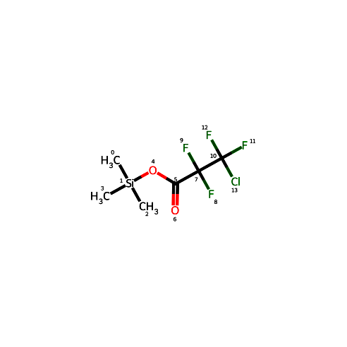 C[Si](C)(C)OC(=O)C(F)(F)C(F)(F)Cl